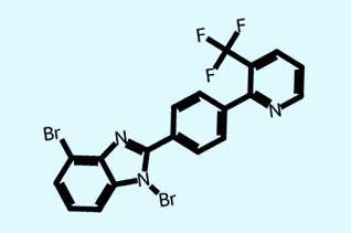 FC(F)(F)c1cccnc1-c1ccc(-c2nc3c(Br)cccc3n2Br)cc1